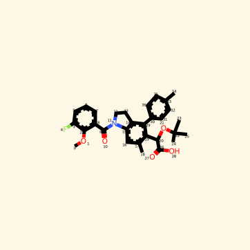 COc1c(F)cccc1C(=O)N1CCc2c1cc(C)c(C(OC(C)(C)C)C(=O)O)c2-c1ccc(C)cc1